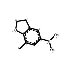 Cc1cc(B(O)O)cc2c1OCC2